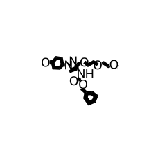 COCCOCCOc1nn(C2CCC(=O)CC2)cc1NC(=O)OCc1ccccc1